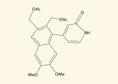 COc1cc2cc(COC(C)=O)c(COC(C)=O)c(-c3cc[nH]c(=O)c3)c2cc1OC